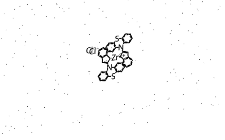 C1=C(N2c3ccccc3Sc3ccccc32)[CH]([Zr+2][CH]2C(N3c4ccccc4Sc4ccccc43)=Cc3ccccc32)c2ccccc21.[Cl-].[Cl-]